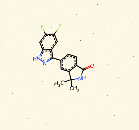 CC1(C)NC(=O)c2ccc(-c3n[nH]c4cc(F)c(F)cc34)cc21